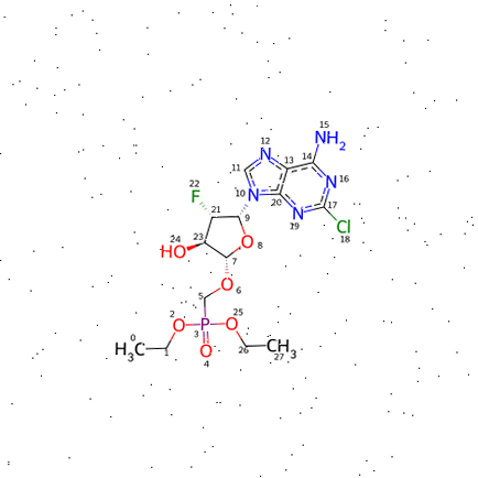 CCOP(=O)(CO[C@H]1O[C@@H](n2cnc3c(N)nc(Cl)nc32)[C@@H](F)[C@@H]1O)OCC